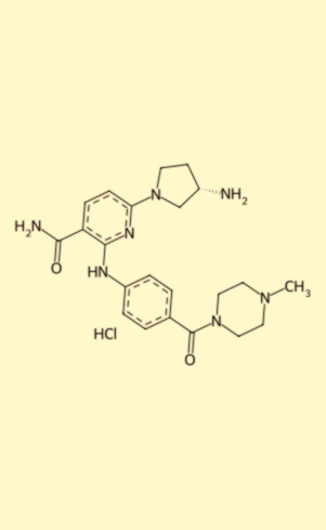 CN1CCN(C(=O)c2ccc(Nc3nc(N4CC[C@H](N)C4)ccc3C(N)=O)cc2)CC1.Cl